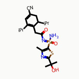 Cc1nc(C(C)(C)O)sc1S(N)(=O)=NC(=O)CC1=C(C(C)C)C=C(C#N)CC1C(C)C